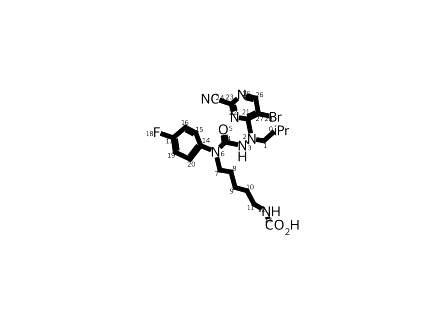 CC(C)CN(NC(=O)N(CCCCCNC(=O)O)c1ccc(F)cc1)c1nc(C#N)ncc1Br